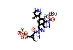 Cc1ccncc1-c1cc2cc(NC(=O)C3C(C)C3COS(C)(=O)=O)ncc2c(NC(=O)OC(C)(C)C)c1F